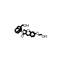 O=C1C(Cc2ccc(OCCO)cc2Cl)CCN1C12CC3CC(CC(CO)(C3)C1)C2